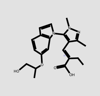 CC/C(=C\c1c(C)nn(C)c1-n1ccc2ccc(OC(C)CO)cc21)C(=O)O